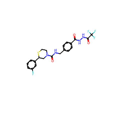 O=C(NNC(=O)C(F)(F)F)c1ccc(CNC(=O)N2CCSC(c3cccc(F)c3)C2)cc1